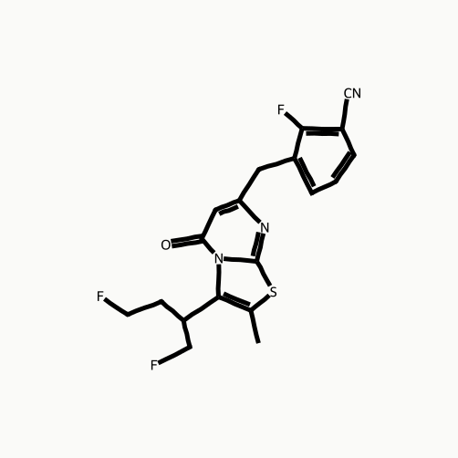 Cc1sc2nc(Cc3cccc(C#N)c3F)cc(=O)n2c1C(CF)CCF